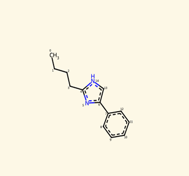 CCCCc1nc(-c2ccccc2)c[nH]1